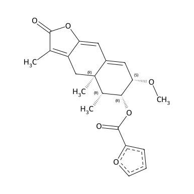 CO[C@H]1C=C2C=C3OC(=O)C(C)=C3C[C@]2(C)[C@@H](C)[C@H]1OC(=O)c1ccco1